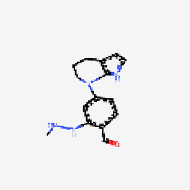 CNNc1cc(N2CCCc3cc[nH]c32)ccc1C=O